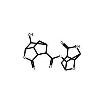 O=C1NC2C(OC(=O)C3C4CC5C(OC(=O)C53)C4O)C3CC1C2O3